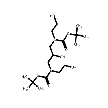 CC(C)(C)OC(=O)N(CCO)CC(O)CN(CCO)C(=O)OC(C)(C)C